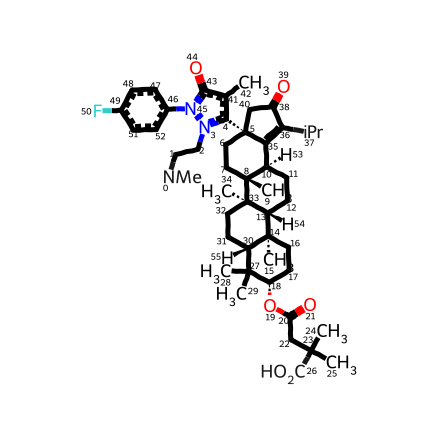 CNCCn1c([C@@]23CC[C@]4(C)[C@H](CC[C@@H]5[C@@]6(C)CC[C@H](OC(=O)CC(C)(C)C(=O)O)C(C)(C)[C@@H]6CC[C@]54C)C2=C(C(C)C)C(=O)C3)c(C)c(=O)n1-c1ccc(F)cc1